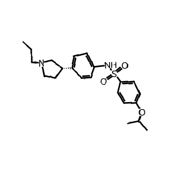 CCCN1CC[C@@H](c2ccc(NS(=O)(=O)c3ccc(OC(C)C)cc3)cc2)C1